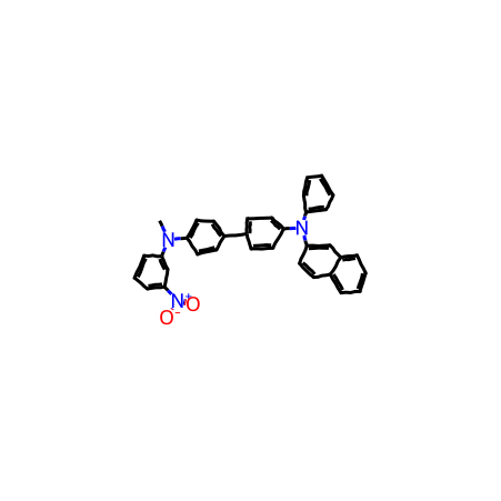 CN(c1ccc(-c2ccc(N(c3ccccc3)c3ccc4ccccc4c3)cc2)cc1)c1cccc([N+](=O)[O-])c1